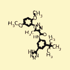 COc1ccc(OC)c(-n2nnc(C(=O)Nc3cc(-c4nnn[nH]4)cc(C(C)(C)C)c3)c2C)c1